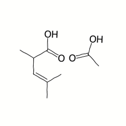 CC(=O)O.CC(C)=CC(C)C(=O)O